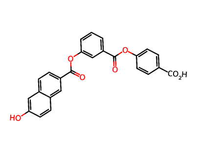 O=C(O)c1ccc(OC(=O)c2cccc(OC(=O)c3ccc4cc(O)ccc4c3)c2)cc1